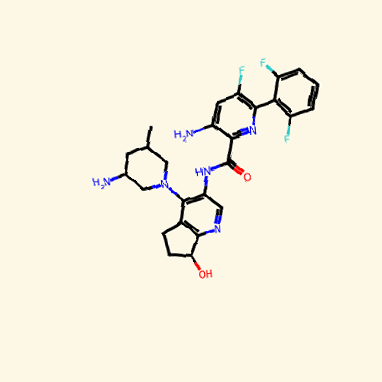 CC1CC(N)CN(c2c(NC(=O)c3nc(-c4c(F)cccc4F)c(F)cc3N)cnc3c2CCC3O)C1